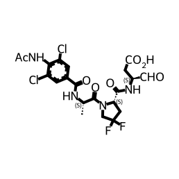 CC(=O)Nc1c(Cl)cc(C(=O)N[C@@H](C)C(=O)N2CC(F)(F)C[C@H]2C(=O)N[C@H](C=O)CC(=O)O)cc1Cl